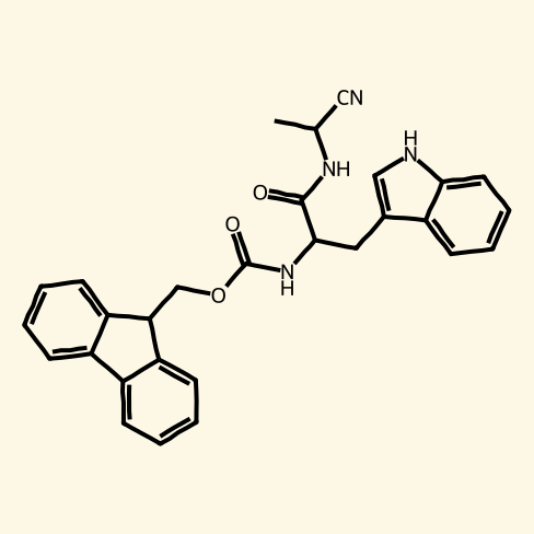 CC(C#N)NC(=O)C(Cc1c[nH]c2ccccc12)NC(=O)OCC1c2ccccc2-c2ccccc21